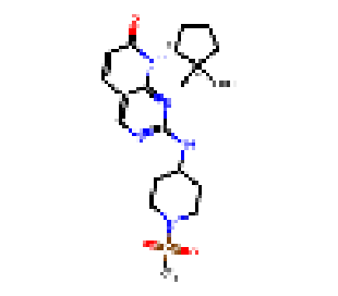 C[C@@]1(C=O)CCC[C@H]1n1c(=O)ccc2cnc(NC3CCN(S(=O)(=O)C(F)(F)F)CC3)nc21